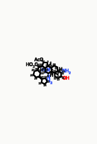 CC(=O)O[C@H]1C[C@@]2(C)[C@@H](C[C@@H](N)[C@H]3[C@@]4(C)CC[C@@H](O)[C@@H](N)[C@@H]4CC[C@@]32N)/C1=C(/C(=O)O)C1CCCC(=C2CCCC2)C1